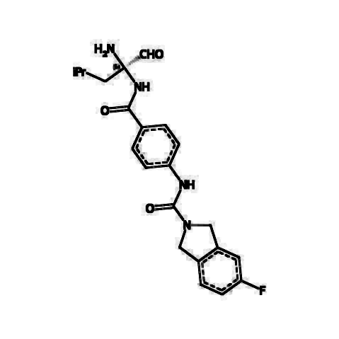 CC(C)C[C@](N)(C=O)NC(=O)c1ccc(NC(=O)N2Cc3ccc(F)cc3C2)cc1